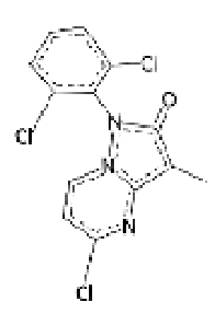 Cc1c(=O)n(-c2c(Cl)cccc2Cl)n2ccc(Cl)nc12